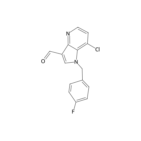 O=Cc1cn(Cc2ccc(F)cc2)c2c(Cl)ccnc12